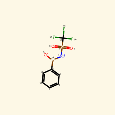 O=S(=O)(N[S+]([O-])c1ccccc1)C(F)(F)F